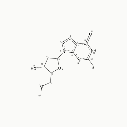 COCC1OC(n2ccc3c(=O)[nH]c(C)nc32)C[C@H]1O